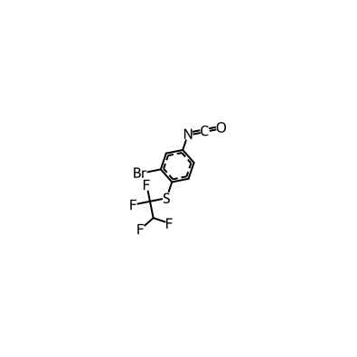 O=C=Nc1ccc(SC(F)(F)C(F)F)c(Br)c1